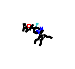 CCC[CH2][Sn]([CH2]CCC)([CH2]CCC)[c]1cnc2c(F)c(C(C)(C)O[Si](CC)(CC)CC)ccn12